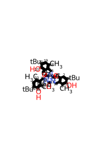 Cc1cc(C(C)(C)C)c(O)c(C)c1CN1C(=O)N(Cc2c(C)cc(C(C)(C)C)c(O)c2C)C(=O)[N+](C#N)(Cc2c(C)cc(C(C)(C)C)c(O)c2C)C1=O